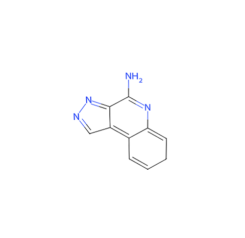 Nc1nc2c(c3c1=NN=C3)C=CCC=2